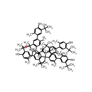 Cc1cc(S)c(C(C)(C)C)cc1-c1cc(C(C)(C)C)c(N(CCO)C(=O)C(=O)N(c2cc(C)c(-c3cc(C(C)(C)C)c(S)cc3C)cc2C(C)(C)C)C(CO)(c2cc(C)c(-c3cc(C(C)(C)C)c(S)cc3C)cc2C(C)(C)C)c2cc(C)c(-c3cc(C(C)(C)C)c(S)cc3C)cc2C(C)(C)C)cc1C